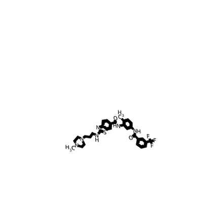 Cc1ccc(NC(=O)c2cccc(C(F)(F)F)c2)cc1NC(=O)c1ccc2nc(NCCCN3CCN(C)CC3)sc2c1